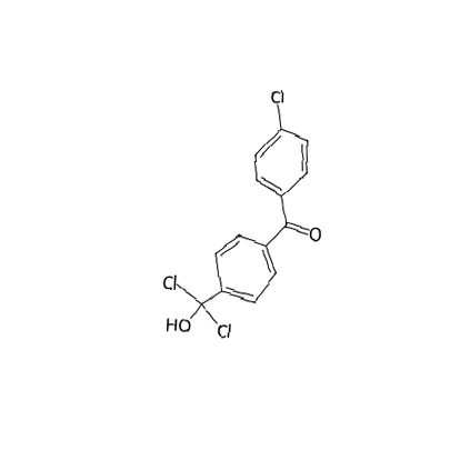 O=C(c1ccc(Cl)cc1)c1ccc(C(O)(Cl)Cl)cc1